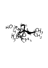 C=C(C)C#CC1(O[Si](C)(C)C)CCN(C(=O)O)C1